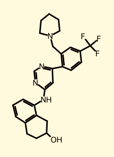 OC1CCc2cccc(Nc3cc(-c4ccc(C(F)(F)F)cc4CN4CCCCC4)ncn3)c2C1